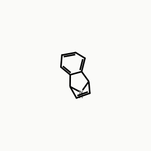 C1=CC2NC1c1ccccc12